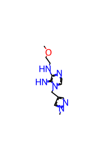 COCCNc1nccn(Cc2cnn(C)c2)c1=N